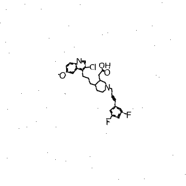 COc1ccc2ncc(Cl)c(CCCC3CCN(CC#Cc4cc(F)cc(F)c4)CC3CC(=O)O)c2c1